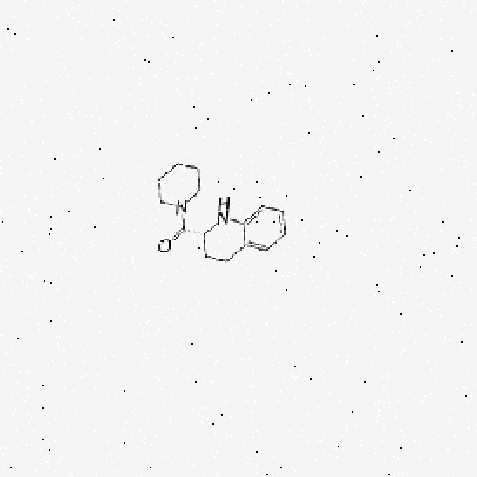 O=C([C@H]1CCc2ccccc2N1)N1CCCCC1